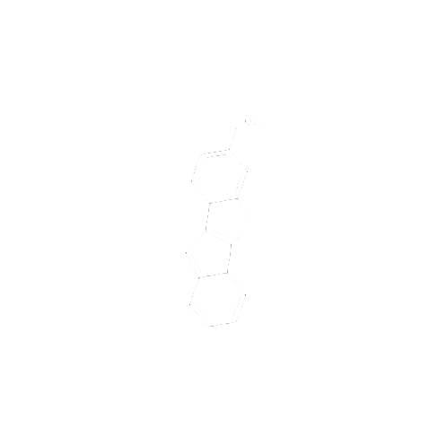 COC1=CCC2C(=C1)SC1=C2C=C2C=CC=CC21